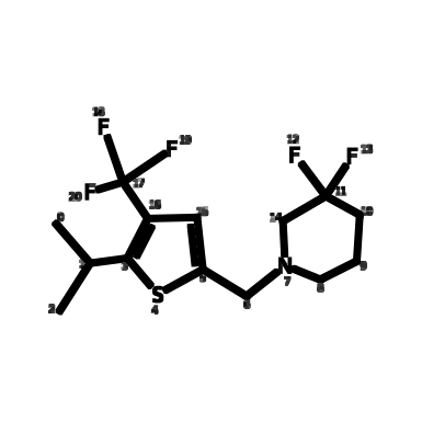 CC(C)c1sc(CN2CCCC(F)(F)C2)cc1C(F)(F)F